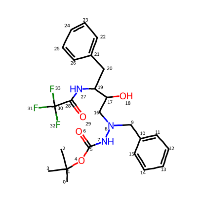 CC(C)(C)OC(=O)NN(Cc1ccccc1)CC(O)C(Cc1ccccc1)NC(=O)C(F)(F)F